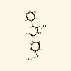 CCCCCCOc1ccc(C(=O)N[C@@H](Cc2ccccc2)C(=O)O)cc1